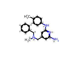 Cc1ccc(Nc2cc(CN(C)Cc3ccccc3)cc(N)n2)cc1